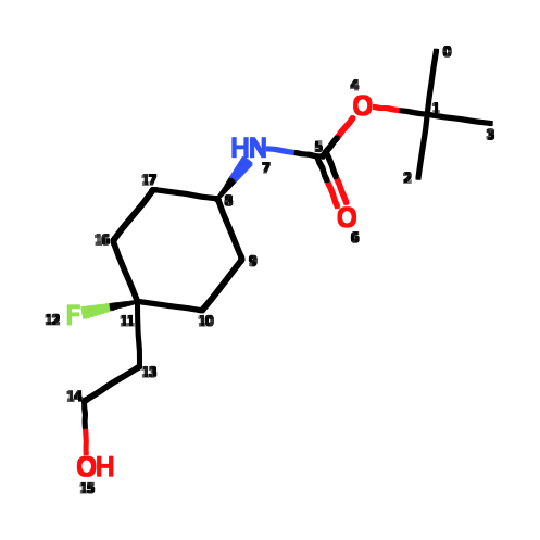 CC(C)(C)OC(=O)N[C@H]1CC[C@](F)(CCO)CC1